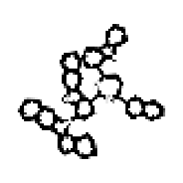 C1=C(c2cccc3c2oc2ccccc23)N=C(c2ccc(-n3c4cc5ccccc5cc4c4ccc5ccccc5c43)c3oc4cc5ccccc5cc4c23)N=C(c2ccc3ccccc3c2)C1